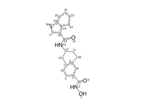 O=C(NO)c1ccc2c(c1)CCC(NC(=O)c1csc3ccccc13)C2